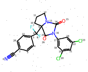 N#Cc1ccc(C(F)(F)C23CCCN2C(=O)N(c2cc(Cl)cc(Cl)c2)C3=O)cc1